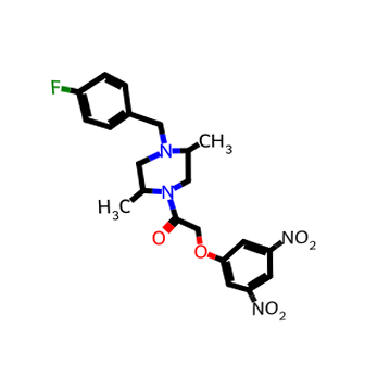 CC1CN(C(=O)COc2cc([N+](=O)[O-])cc([N+](=O)[O-])c2)C(C)CN1Cc1ccc(F)cc1